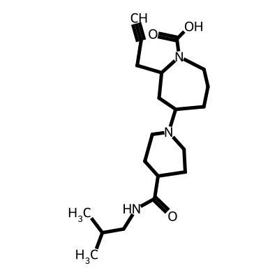 C#CCC1CC(N2CCC(C(=O)NCC(C)C)CC2)CCCN1C(=O)O